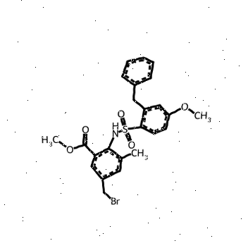 COC(=O)c1cc(CBr)cc(C)c1NS(=O)(=O)c1ccc(OC)cc1Cc1ccccc1